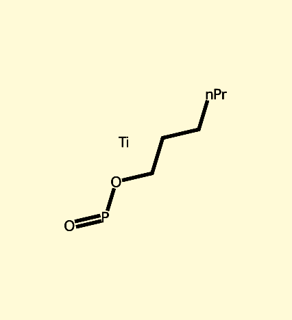 CCCCCCOP=O.[Ti]